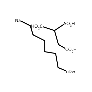 CCCCCCCCCCCCCCC[CH2][Na].O=C(O)CC(C(=O)O)S(=O)(=O)O